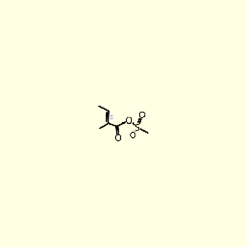 C/C=C(\C)C(=O)OS(C)(=O)=O